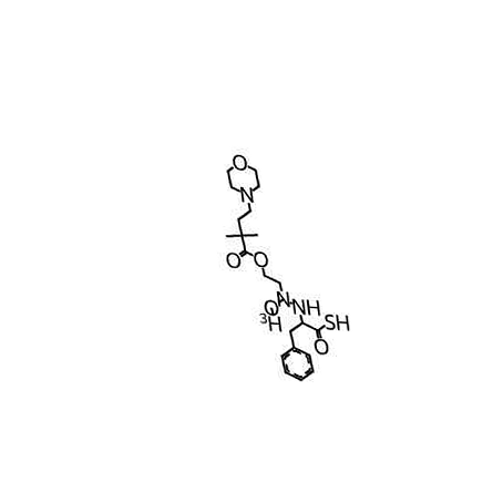 [3H]ON(CCOC(=O)C(C)(C)CCN1CCOCC1)NC(Cc1ccccc1)C(=O)S